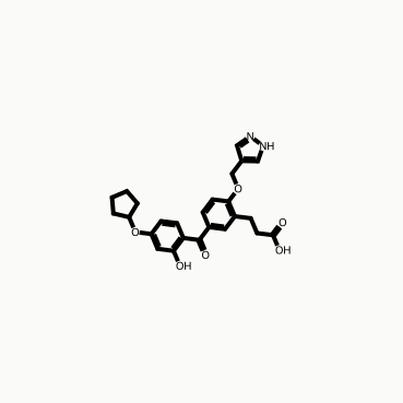 O=C(O)CCc1cc(C(=O)c2ccc(OC3CCCC3)cc2O)ccc1OCc1cn[nH]c1